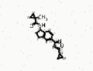 CC1(C(=O)N[C@@H]2CCc3cc(-c4noc(C5CC5)n4)ccc32)CC1